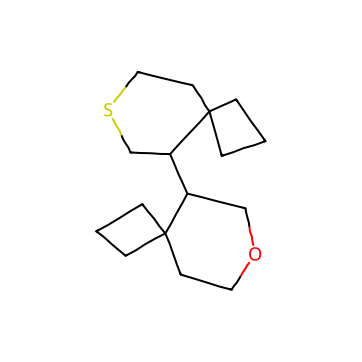 C1CC2(C1)CCOCC2C1CSCCC12CCC2